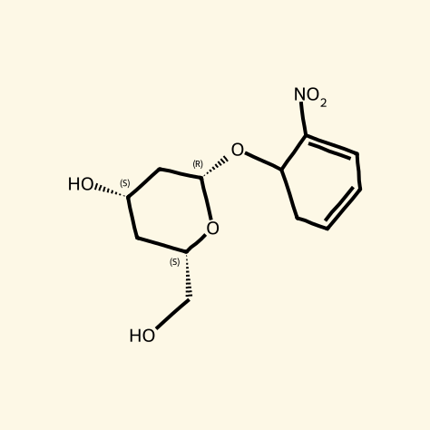 O=[N+]([O-])C1=CC=CCC1O[C@H]1C[C@@H](O)C[C@@H](CO)O1